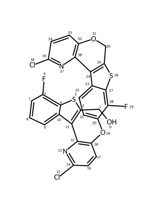 OCc1sc2c(F)cccc2c1-c1nc(Cl)ccc1Oc1ccc2c3c(sc2c1F)COc1ccc(Cl)nc1-3